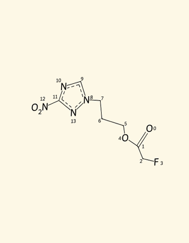 O=C(CF)OCCCn1cnc([N+](=O)[O-])n1